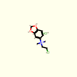 C[N+](C)(CCCl)c1ccc2c(c1)OCO2.Cl